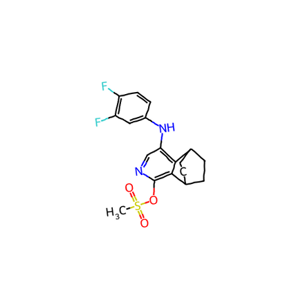 CS(=O)(=O)Oc1ncc(Nc2ccc(F)c(F)c2)c2c1C1CCC2CC1